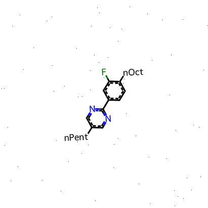 CCCCCCCCc1ccc(-c2ncc(CCCCC)cn2)cc1F